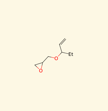 C=CC(CC)OCC1CO1